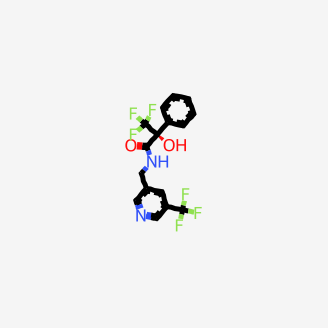 O=C(NCc1cncc(C(F)(F)F)c1)[C@@](O)(c1ccccc1)C(F)(F)F